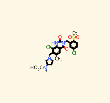 CCS(=O)(=O)c1ccc(Cl)cc1Cn1c(=O)[nH]c2c(Cl)c(CN3CCC(N(C)C(=O)O)C3)c(C(F)(F)F)cc2c1=O